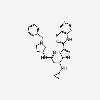 O=C(Nc1ccncc1F)c1cnc2c(NC3CC3)cc(NC3CCN(Cc4ccccc4)C3)nn12